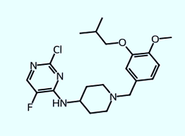 COc1ccc(CN2CCC(Nc3nc(Cl)ncc3F)CC2)cc1OCC(C)C